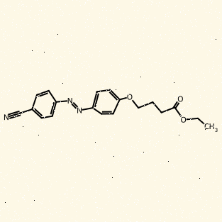 CCOC(=O)CCCOc1ccc(N=Nc2ccc(C#N)cc2)cc1